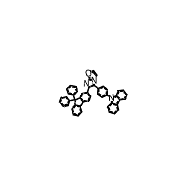 c1ccc(C2(c3ccccc3)c3ccccc3-c3ccc(-c4nc5occn5c4-c4ccc(-n5c6ccccc6c6ccccc65)cc4)cc32)cc1